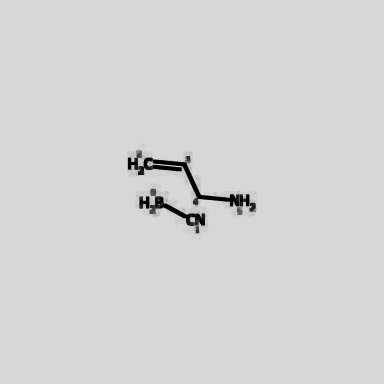 BC#N.C=CCN